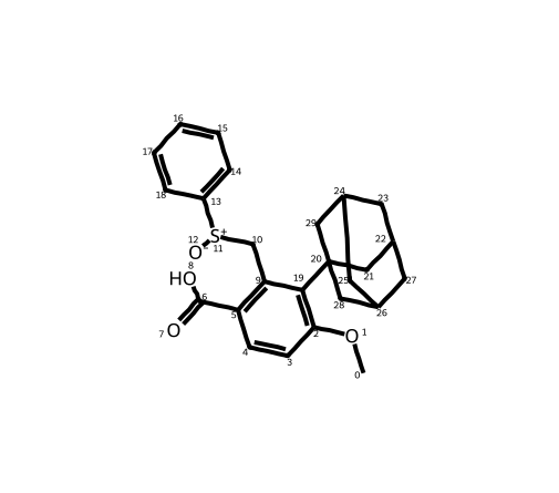 COc1ccc(C(=O)O)c(C[S+]([O-])c2ccccc2)c1C12CC3CC(CC(C3)C1)C2